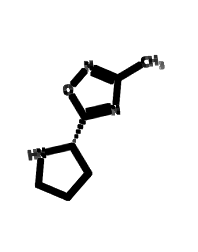 Cc1noc([C@@H]2CCCN2)n1